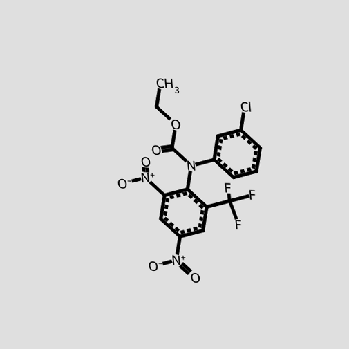 CCOC(=O)N(c1cccc(Cl)c1)c1c([N+](=O)[O-])cc([N+](=O)[O-])cc1C(F)(F)F